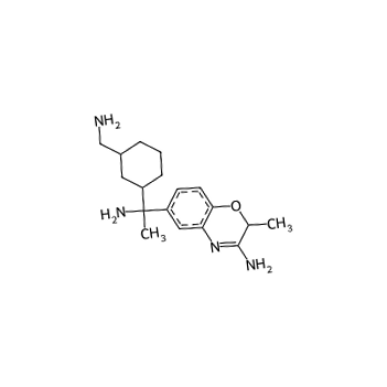 CC1Oc2ccc(C(C)(N)C3CCCC(CN)C3)cc2N=C1N